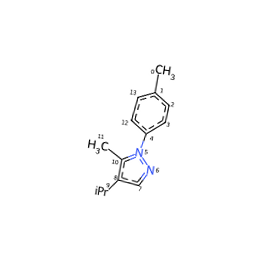 Cc1ccc(-n2ncc(C(C)C)c2C)cc1